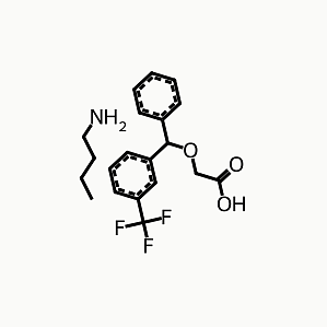 CCCCN.O=C(O)COC(c1ccccc1)c1cccc(C(F)(F)F)c1